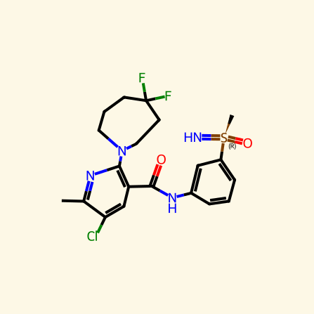 Cc1nc(N2CCCC(F)(F)CC2)c(C(=O)Nc2cccc([S@](C)(=N)=O)c2)cc1Cl